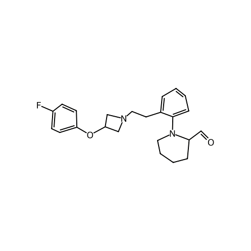 O=CC1CCCCN1c1ccccc1CCN1CC(Oc2ccc(F)cc2)C1